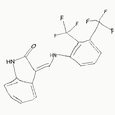 O=C1Nc2ccccc2C1=CNc1cccc(C(F)(F)F)c1C(F)(F)F